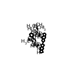 CN(C)CCN(CCCc1ccccc1)S(=O)(=O)NC(=O)Nc1c2c(cc3c1CC(C1Cc4cc5c(c(NC(=O)NS(=O)(=O)NCC(C)(C)N(C)C)c4C1)CCC5)C3)CCC2